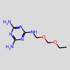 CCOCOCNc1nc(N)nc(N)n1